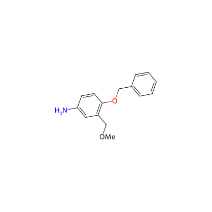 COCc1cc(N)ccc1OCc1ccccc1